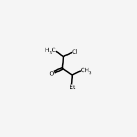 CCC(C)C(=O)C(C)Cl